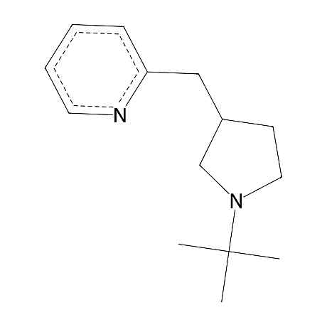 CC(C)(C)N1CCC(Cc2ccccn2)C1